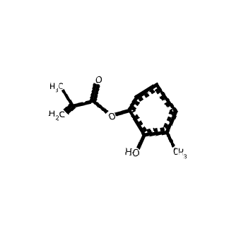 C=C(C)C(=O)Oc1cccc(C)c1O